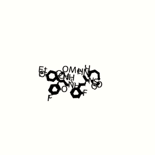 CCO[C@H]1CC[C@](C)([C@H](c2ccc(F)cc2)[C@H](NC(=O)OC)C(=O)Nc2cccc(F)c2CC[C@H]2CN[C@@H]3CCCS(=O)(=O)N2C3)CC1